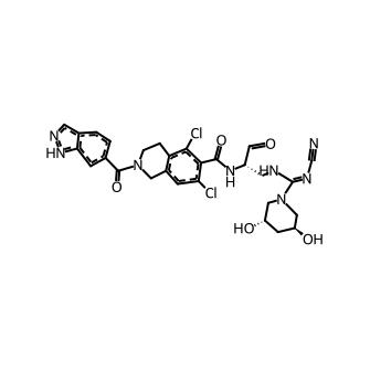 N#C/N=C(\NC[C@@H](C=O)NC(=O)c1c(Cl)cc2c(c1Cl)CCN(C(=O)c1ccc3cn[nH]c3c1)C2)N1C[C@@H](O)C[C@H](O)C1